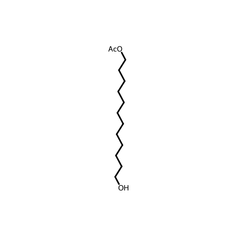 CC(=O)OCCCCCCCCCCCCO